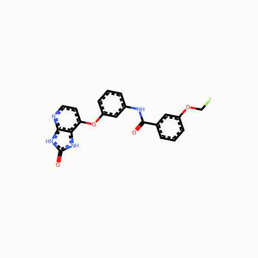 O=C(Nc1cccc(Oc2ccnc3[nH]c(=O)[nH]c23)c1)c1cccc(OCF)c1